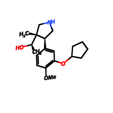 COc1ccc([C@@H]2CNC[C@@]2(C)[C@@H](C)O)cc1OC1CCCC1